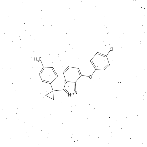 Cc1ccc(C2(c3nnc4c(Oc5ccc(Cl)cc5)cccn34)CC2)cc1